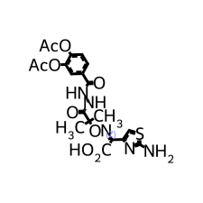 CC(=O)Oc1ccc(C(=O)NNC(=O)C(C)(C)O/N=C(\C(=O)O)c2csc(N)n2)cc1OC(C)=O